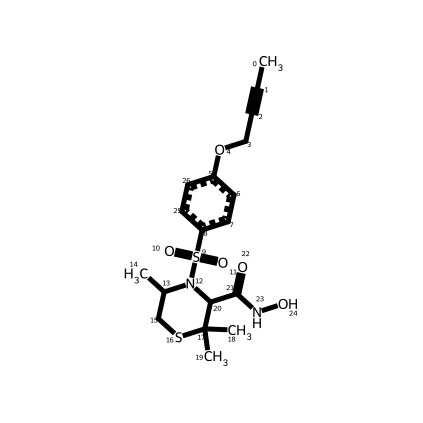 CC#CCOc1ccc(S(=O)(=O)N2C(C)CSC(C)(C)C2C(=O)NO)cc1